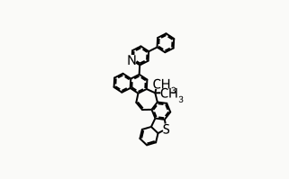 CC1(C)c2ccc3c(c2C=Cc2c1cc(-c1cc(-c4ccccc4)ccn1)c1ccccc21)C1C=CC=CC1S3